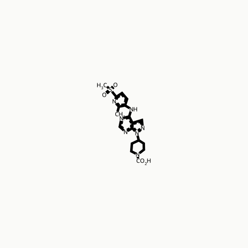 Cc1nc(S(C)(=O)=O)ccc1Nc1ncnc2c1cnn2C1CCN(C(=O)O)CC1